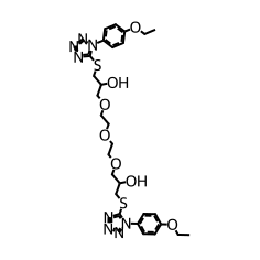 CCOc1ccc(-n2nnnc2SCC(O)COCCOCCOCC(O)CSc2nnnn2-c2ccc(OCC)cc2)cc1